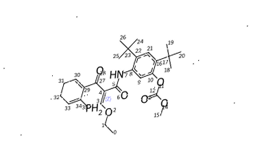 CCO/C=C(\C(=O)Nc1cc(OC(=O)OC)c(C(C)(C)C)cc1C(C)(C)C)C(=O)C1=CCCC=C1P